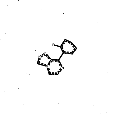 Fc1ccccc1-c1nccn2cnnc12